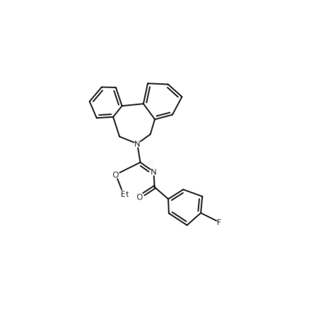 CCO/C(=N\C(=O)c1ccc(F)cc1)N1Cc2ccccc2-c2ccccc2C1